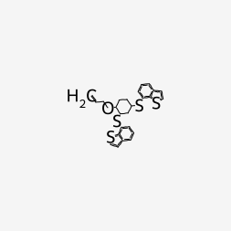 C=CCOC1CCC(Sc2cccc3ccsc23)CC1Sc1cccc2ccsc12